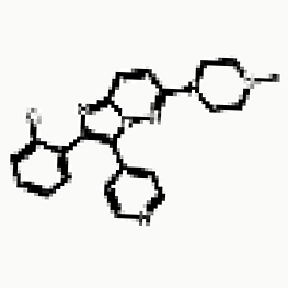 CN1CCN(c2ccc3nc(-c4ccccc4Cl)c(-c4ccncc4)n3n2)CC1